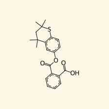 CC1(C)CC(C)(C)c2cc(OC(=O)c3ccccc3C(=O)O)ccc2S1